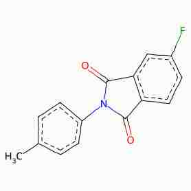 Cc1ccc(N2C(=O)c3ccc(F)cc3C2=O)cc1